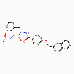 CC(=O)NCC(=O)[C@H](Cc1ccccc1)NC(=O)c1ccc(OCc2ccc3ccccc3c2)cc1